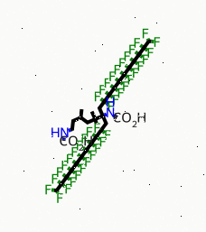 CC(CCNC(=O)O)CC(C)(C)C(CC(F)(F)C(F)(F)C(F)(F)C(F)(F)C(F)(F)C(F)(F)C(F)(F)C(F)(F)C(F)(F)C(F)F)(CC(F)(F)C(F)(F)C(F)(F)C(F)(F)C(F)(F)C(F)(F)C(F)(F)C(F)(F)C(F)(F)C(F)F)NC(=O)O